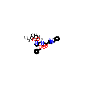 CC(C)(C)OC(=O)N1CCCC1CN(CC(=O)c1cnn(Cc2ccccc2)c1)C(=O)OCc1ccccc1